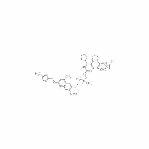 CC[C@@H]1C[C@@]1(C=O)NC(=O)[C@@H]1CCCN1C(=O)[C@@H](NC(=O)OCC(C)(C)CCCc1cc2c(C)cc(OCc3csc(C)n3)nc2cc1OC)C1CCCC1